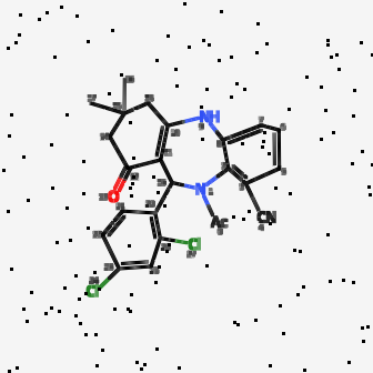 CC(=O)N1c2c(C#N)cccc2NC2=C(C(=O)CC(C)(C)C2)C1c1ccc(Cl)cc1Cl